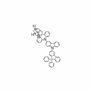 c1ccc(C2(c3ccccc3)c3ccccc3-c3cc(-n4c5ccccc5c5cc(N6c7ccccc7C7(c8ccccc86)C6C[C@H]8C[C@@H]9C[C@@H]7[C@@]9(C6)C8)ccc54)ccc32)cc1